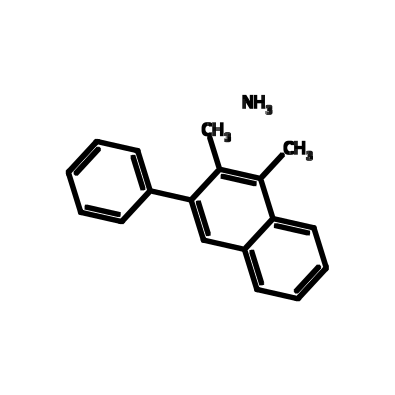 Cc1c(-c2ccccc2)cc2ccccc2c1C.N